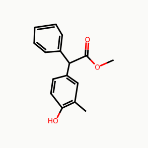 COC(=O)C(c1ccccc1)c1ccc(O)c(C)c1